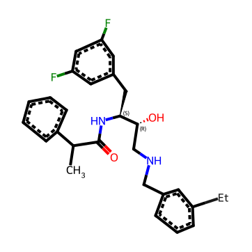 CCc1cccc(CNC[C@@H](O)[C@H](Cc2cc(F)cc(F)c2)NC(=O)C(C)c2ccccc2)c1